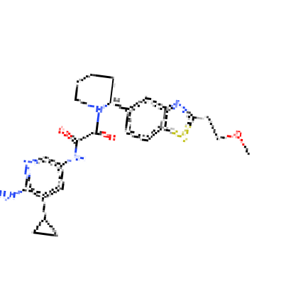 COCCc1nc2cc([C@@H]3CCCCN3C(=O)C(=O)Nc3cnc(N)c(C4CC4)c3)ccc2s1